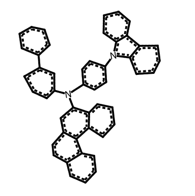 c1ccc(-c2cccc(N(c3ccc(-n4c5ccccc5c5ccccc54)cc3)c3cc4ccc5ccccc5c4c4ccccc34)c2)cc1